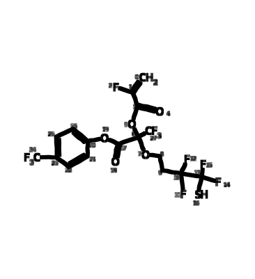 C=C(F)C(=O)OC(OCCC(F)(F)C(F)(F)S)(C(=O)Oc1ccc(C(F)(F)F)cc1)C(F)(F)F